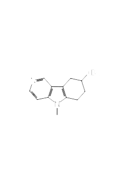 Cn1c2c(c3cnccc31)CC(C(C)(C)C)CC2